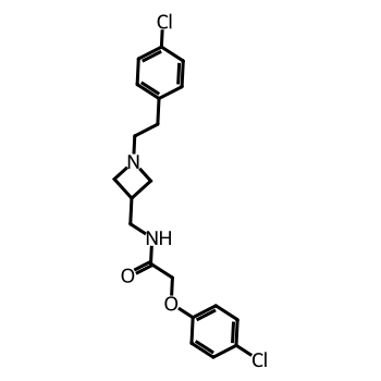 O=C(COc1ccc(Cl)cc1)NCC1CN(CCc2ccc(Cl)cc2)C1